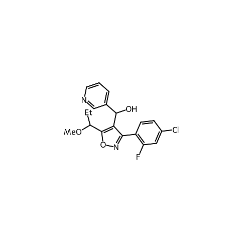 CCC(OC)c1onc(-c2ccc(Cl)cc2F)c1C(O)c1cccnc1